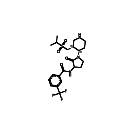 CC(C)S(=O)(=O)C[C@@H]1CNCC[C@@H]1N1CCC(NC(=O)c2cccc(C(F)(F)F)c2)C1=O